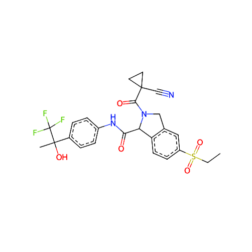 CCS(=O)(=O)c1ccc2c(c1)CN(C(=O)C1(C#N)CC1)C2C(=O)Nc1ccc(C(C)(O)C(F)(F)F)cc1